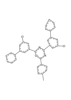 Cc1ccc(-c2nc(-c3cc(Cl)cc(-c4ccccc4)c3)nc(-c3cc(Cl)cc(-c4ccccc4)c3)[o+]2)cc1